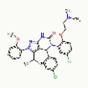 COc1ccccc1-n1nc2c(c1C(C)C)C(c1ccc(Cl)cc1)N(c1cc(Cl)ccc1OCCN(C)C)C(=O)N2